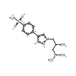 CC(CN(C)C)Cn1cc(-c2ccc(S(N)(=O)=O)cc2)nn1